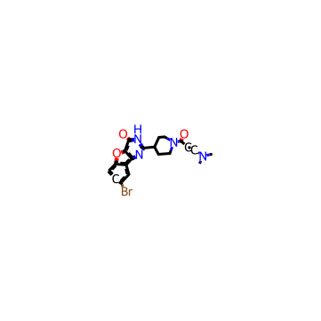 CN(C)CCC(=O)N1CCC(c2nc3c(oc4ccc(Br)cc43)c(=O)[nH]2)CC1